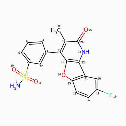 Cc1c(-c2cccc(S(N)(=O)=O)c2)c2oc3ccc(F)cc3c2[nH]c1=O